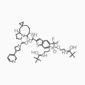 CC(C)(C)C(O)=[SH]CCOP(=O)(OCC[SH]=C(O)C(C)(C)C)C(F)(F)c1ccc2sc(C(=O)N[C@H]3CCC4(CC4)C[C@H]4CC[C@@H](C(=O)N5CC(c6cccnc6)C5)N4C3=O)cc2c1